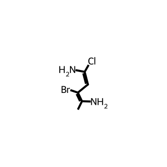 C/C(N)=C(Br)/C=C(\N)Cl